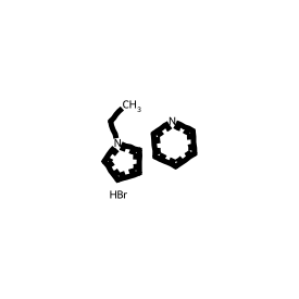 Br.CCn1cccc1.c1ccncc1